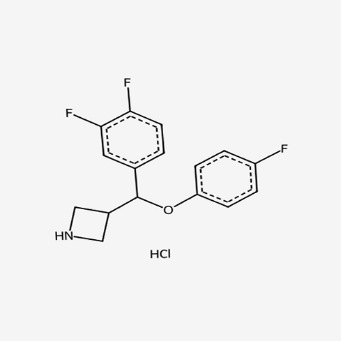 Cl.Fc1ccc(OC(c2ccc(F)c(F)c2)C2CNC2)cc1